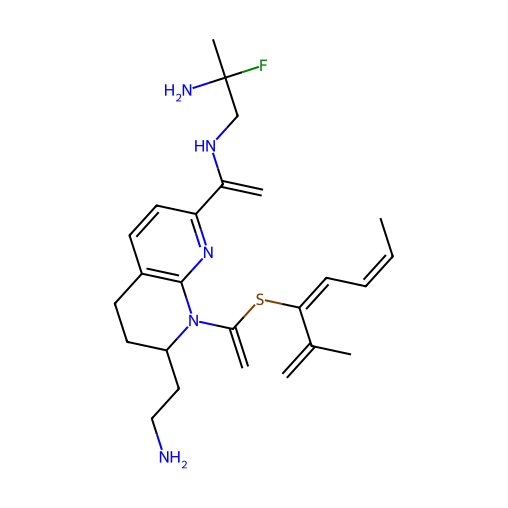 C=C(C)/C(=C\C=C/C)SC(=C)N1c2nc(C(=C)NCC(C)(N)F)ccc2CCC1CCN